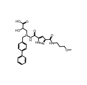 COCCCNC(=O)c1cc(C(=O)NN(Cc2ccc(-c3ccccc3)cc2)CC(O)C(=O)O)[nH]n1